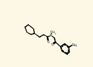 CN(CC(=O)c1cccc(O)c1)C(=O)CCC1CCCCC1